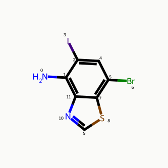 Nc1c(I)cc(Br)c2scnc12